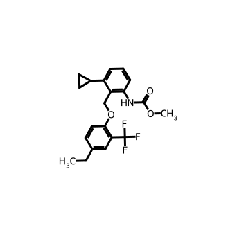 CCc1ccc(OCc2c(NC(=O)OC)cccc2C2CC2)c(C(F)(F)F)c1